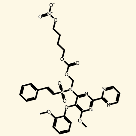 COc1ccccc1Oc1c(OC)nc(-c2ncccn2)nc1N(COC(=O)OCCCCO[N+](=O)[O-])S(=O)(=O)/C=C/c1ccccc1